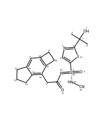 CC(C)(O)c1ncc([S@@](=O)(=NC(=O)Cc2c3c(cc4c2CC4)CCC3)NC#N)s1